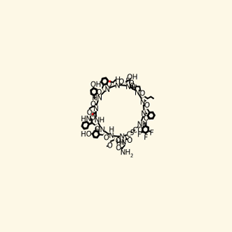 CCCC[C@H]1C(=O)N2CCC[C@@H]2C(=O)N[C@@H](CC(=O)O)C(=O)N[C@@H](C(C)C)C(=O)N(C)[C@@H](Cc2ccccc2)C(=O)N[C@@H](Cc2ccc(O)cc2)C(=O)N2CCOC[C@@H]2C(=O)N[C@@H](Cc2c[nH]c3ccccc23)C(=O)N[C@@H](Cc2ccc(O)cc2)C(=O)N[C@@H](CCOC)C(=O)N[C@H](C(=O)NCC(N)=O)CSCC(=O)N[C@@H](Cc2cc(F)c(F)c(F)c2)C(=O)N(C)[C@@H](Cc2ccccc2)C(=O)N1C